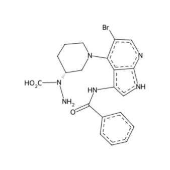 NN(C(=O)O)[C@@H]1CCCN(c2c(Br)cnc3[nH]cc(NC(=O)c4ccccc4)c23)C1